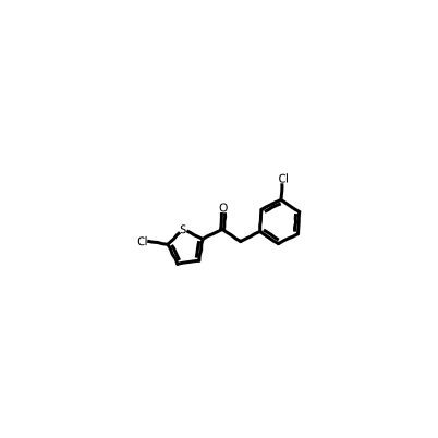 O=C(Cc1cccc(Cl)c1)c1ccc(Cl)s1